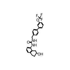 O=C(NCc1ccc(-c2cccc(OC(F)(F)F)c2)cc1)Nc1cccc2c1CC(O)CC2